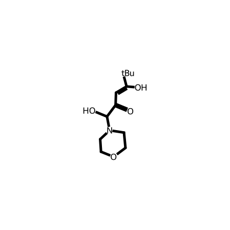 CC(C)(C)/C(O)=C/C(=O)C(O)N1CCOCC1